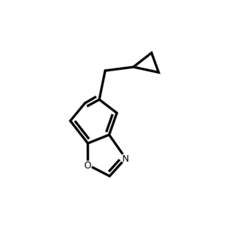 c1nc2cc(CC3CC3)ccc2o1